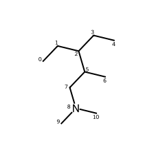 CCC(CC)C(C)CN(C)C